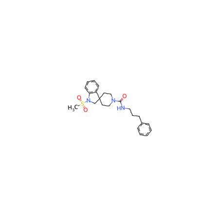 CS(=O)(=O)N1CC2(CCN(C(=O)NCCCc3ccccc3)CC2)c2ccccc21